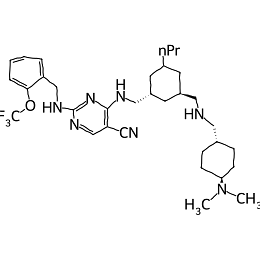 CCCC1C[C@@H](CNC[C@H]2CC[C@H](N(C)C)CC2)C[C@H](CNc2nc(NCc3ccccc3OC(F)(F)F)ncc2C#N)C1